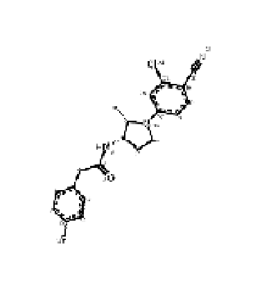 C[C@H]1[C@@H](NC(=O)Cc2ccc(F)cc2)CCN1c1ccc(C#N)c(Cl)c1